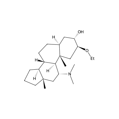 CCO[C@H]1C[C@@]2(C)[C@@H](CC[C@@H]3[C@@H]2[C@H](N(C)C)C[C@]2(C)CCC[C@@H]32)C[C@@H]1O